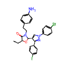 CCC1OC(c2cn(-c3ccc(Br)cc3)nc2-c2ccc(F)cc2)N(CCc2ccc(N)cc2)C1=O